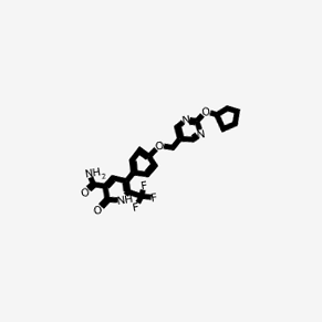 NC(=O)c1cc(-c2ccc(OCc3cnc(OC4CCCC4)nc3)cc2)c(C(F)(F)F)[nH]c1=O